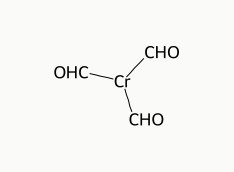 O=[CH][Cr]([CH]=O)[CH]=O